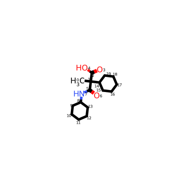 CC(C(=O)O)(C(=O)NC1CCCCC1)C1CCCCC1